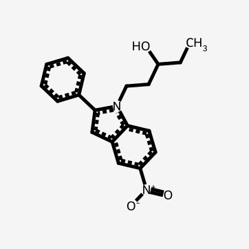 CCC(O)CCn1c(-c2ccccc2)cc2cc([N+](=O)[O-])ccc21